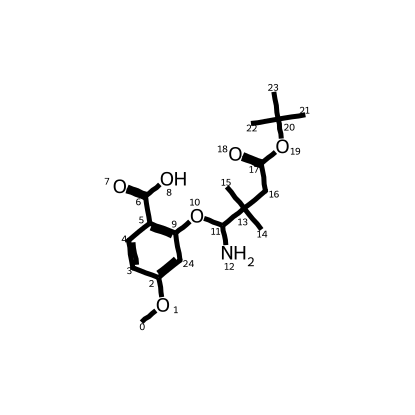 COc1ccc(C(=O)O)c(OC(N)C(C)(C)CC(=O)OC(C)(C)C)c1